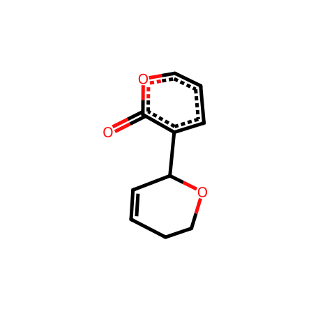 O=c1occcc1C1C=CCCO1